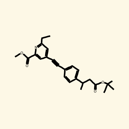 CCc1cc(C#Cc2ccc(C(C)CC(=O)OC(C)(C)C)cc2)cc(C(=O)OC)n1